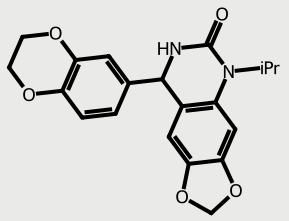 CC(C)N1C(=O)NC(c2ccc3c(c2)OCCO3)c2cc3c(cc21)OCO3